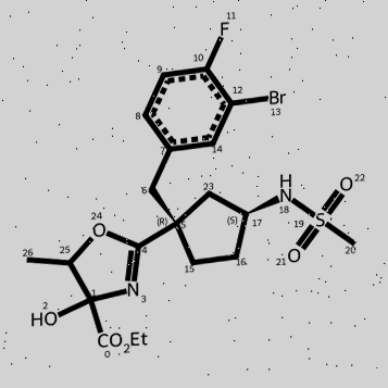 CCOC(=O)C1(O)N=C([C@@]2(Cc3ccc(F)c(Br)c3)CC[C@H](NS(C)(=O)=O)C2)OC1C